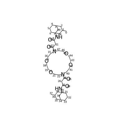 CC1CC2CCCC(NC(=O)CC(=O)N3CCOCCOCCN(C(=O)CC(=O)NC45CCCC(CC(C)C4)C5)CCOCCOCC3)(C1)C2